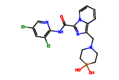 O=C(Nc1ncc(Cl)cc1Cl)c1nc(CN2CCS(O)(O)CC2)c2ccccn12